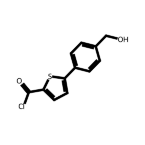 O=C(Cl)c1ccc(-c2ccc(CO)cc2)s1